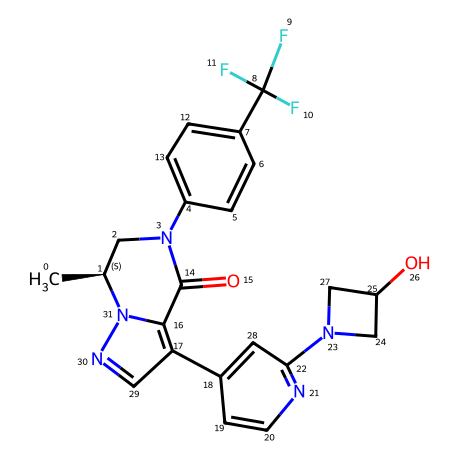 C[C@H]1CN(c2ccc(C(F)(F)F)cc2)C(=O)c2c(-c3ccnc(N4CC(O)C4)c3)cnn21